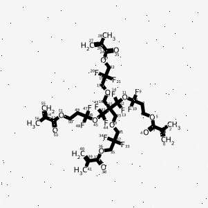 C=C(C)C(=O)OCCC(F)(F)OC(F)(F)C(COCC(F)(F)COC(=O)C(=C)C)(COCC(F)(F)COC(=O)C(=C)C)C(F)(F)OC(F)(F)CCOC(=O)C(=C)C